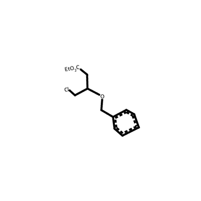 CCOC(=O)CC(CCl)OCc1ccccc1